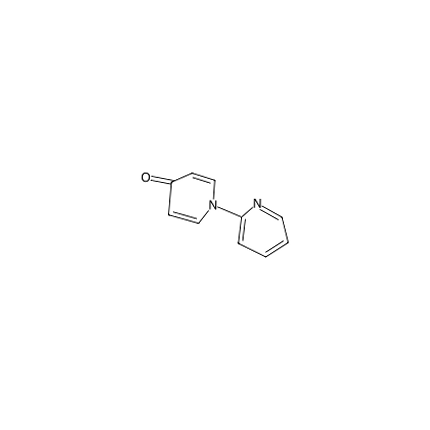 O=c1ccn(-c2ccccn2)cc1